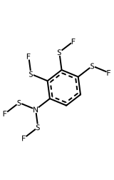 FSc1ccc(N(SF)SF)c(SF)c1SF